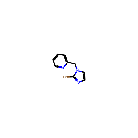 Brc1nccn1Cc1ccccn1